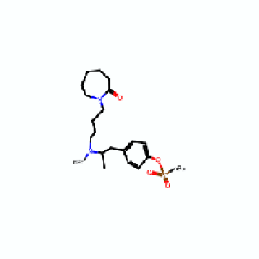 CCCCS(=O)(=O)Oc1ccc(CC(C)N(CCC)CCCCN2CCCCCC2=O)cc1